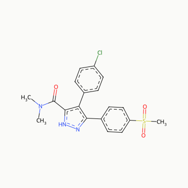 CN(C)C(=O)c1[nH]nc(-c2ccc(S(C)(=O)=O)cc2)c1-c1ccc(Cl)cc1